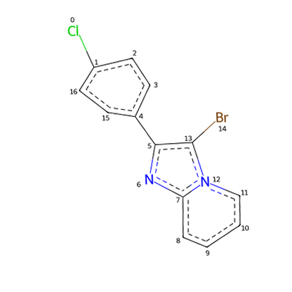 Clc1ccc(-c2nc3ccccn3c2Br)cc1